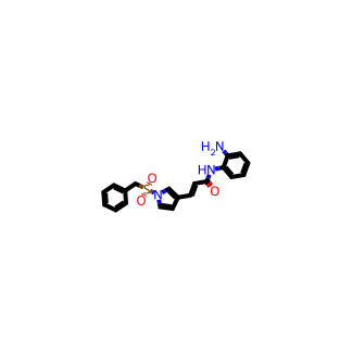 Nc1ccccc1NC(=O)C=Cc1ccn(S(=O)(=O)Cc2ccccc2)c1